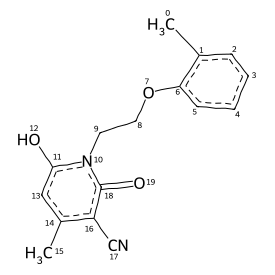 Cc1ccccc1OCCn1c(O)cc(C)c(C#N)c1=O